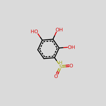 O=[SH](=O)c1ccc(O)c(O)c1O